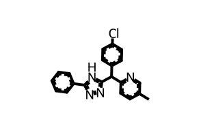 Cc1ccc(C(c2ccc(Cl)cc2)c2nnc(-c3ccccc3)[nH]2)nc1